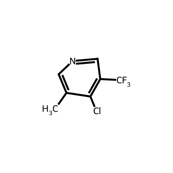 Cc1cncc(C(F)(F)F)c1Cl